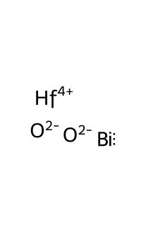 [Bi].[Hf+4].[O-2].[O-2]